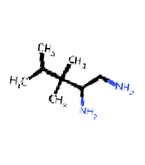 CC(C)C(C)(C)C(N)CN